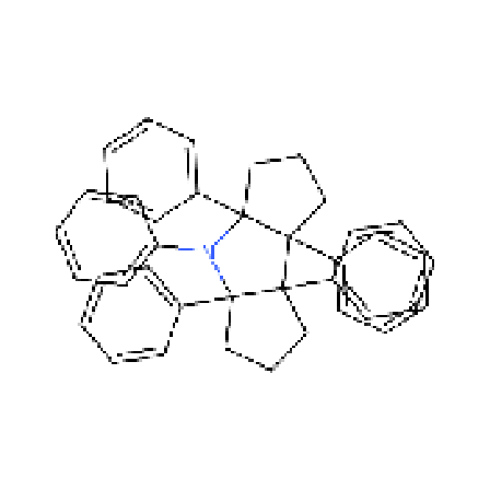 c1ccc(N2C3(c4ccccc4)CCCC3(c3ccccc3)C3(c4ccccc4)CCCC23c2ccccc2)cc1